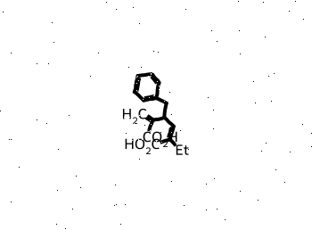 C=C(C(=O)O)C(C=C(CC)C(=O)O)Cc1ccccc1